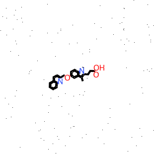 Cc1c(CCC(=O)O)n(C)c2ccc(OCc3ccc4ccccc4n3)cc12